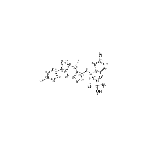 CCC(O)(CC)C(=O)NC(C[C@H]1CCC2=C1[C@@H](C)c1cnn(-c3ccc(F)cc3)c1C2)c1cccc(Cl)c1